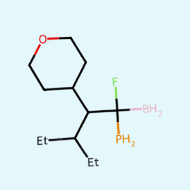 BC(F)(P)C(C(CC)CC)C1CCOCC1